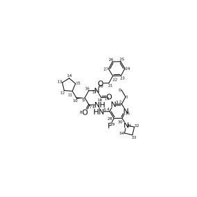 CCc1nc(NNC(=O)[C@@H](CC2CCCC2)CN(C=O)OCc2ccccc2)c(F)c(N2CCC2)n1